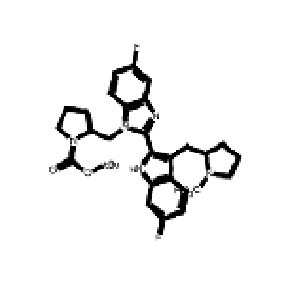 CC(C)(C)OC(=O)N1CCCC1Cn1c(-c2[nH]c3cc(F)ccc3c2CC2CCCN2C(=O)O)nc2cc(F)ccc21